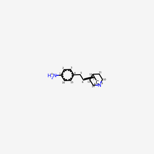 Nc1ccc(CC=C2CN3CCC2CC3)cc1